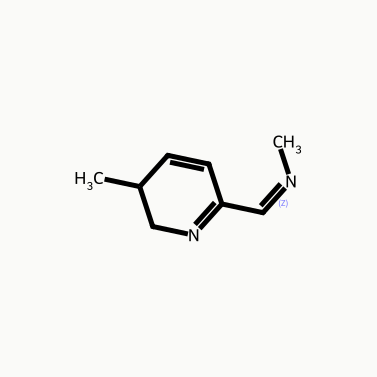 C/N=C\C1=NCC(C)C=C1